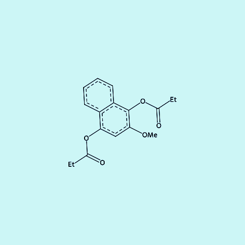 CCC(=O)Oc1cc(OC)c(OC(=O)CC)c2ccccc12